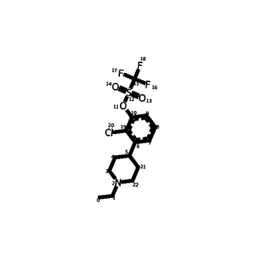 CCN1CCC(c2cccc(OS(=O)(=O)C(F)(F)F)c2Cl)CC1